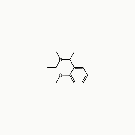 CCN(C)C(C)c1ccccc1OC